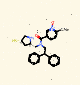 COc1ccc(C(=O)N(CC(c2ccccc2)c2ccccc2)C[C@@H]2C[C@H](S)CN2)c[n+]1[O-]